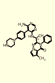 Cc1ccn2nc([C@H](C)Nc3ncnc(N)c3-c3ccc(N4CCNCC4)cc3)n(-c3ccccc3)c(=O)c12